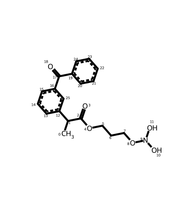 CC(C(=O)OCCCON(O)O)c1cccc(C(=O)c2ccccc2)c1